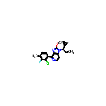 CCC(C1CC1)n1c(OC)nc2c(-c3ccc(C)c(F)c3Cl)nccc21